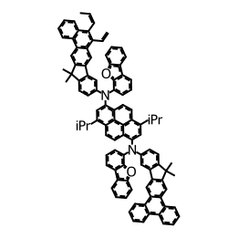 C=Cc1c(/C=C\C)c2ccccc2c2cc3c(cc12)-c1cc(N(c2cc(C(C)C)c4ccc5c(N(c6ccc7c(c6)-c6cc8c9ccccc9c9ccccc9c8cc6C7(C)C)c6cccc7c6oc6ccccc67)cc(C(C)C)c6ccc2c4c65)c2cccc4c2oc2ccccc24)ccc1C3(C)C